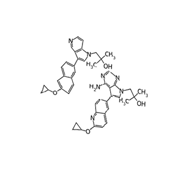 CC(C)(O)Cn1cc(-c2ccc3cc(OC4CC4)ccc3c2)c2cnccc21.CC(C)(O)Cn1cc(-c2ccc3nc(OC4CC4)ccc3c2)c2c(N)ncnc21